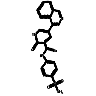 NS(=O)(=O)c1ccc(NC(=O)c2cc(-c3cncc4ccccc34)c[nH]c2=O)cc1